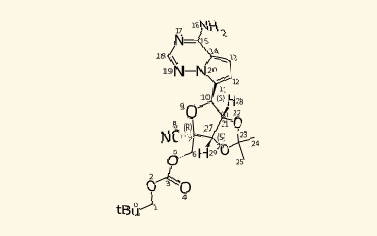 CC(C)(C)COC(=O)OC[C@@]1(C#N)O[C@@H](c2ccc3c(N)ncnn23)[C@@H]2OC(C)(C)O[C@@H]21